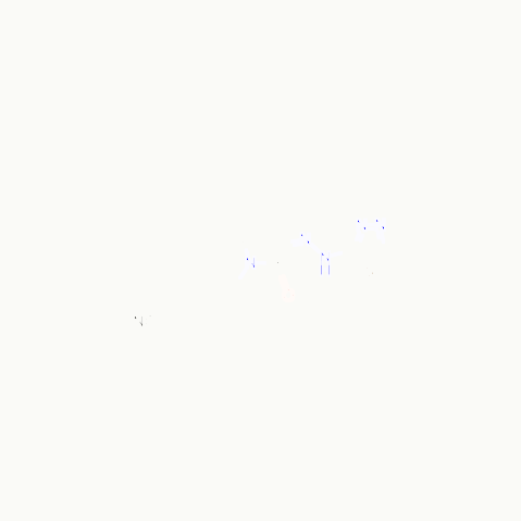 N#Cc1cccc(CN2C(=O)C(=NNc3nncs3)c3ccccc32)c1